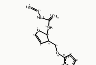 C=C(NN=N)NC1OC=CC1COc1cc[nH]n1